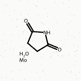 O.O=C1CCC(=O)N1.[Mo]